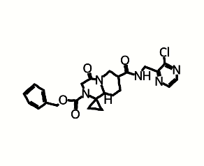 O=C(NCc1nccnc1Cl)C1CC[C@@H]2N(C1)C(=O)CN(C(=O)OCc1ccccc1)C21CC1